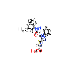 Cc1cc(C)cc(NC(=O)CCn2c(-c3nc(C(=O)O)cs3)nc3ccccc32)c1